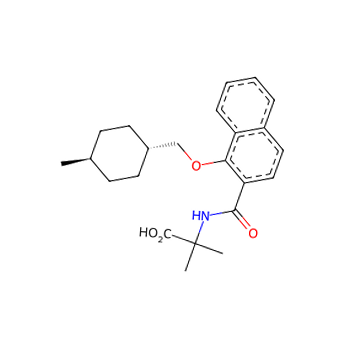 CC(C)(NC(=O)c1ccc2ccccc2c1OC[C@H]1CC[C@H](C)CC1)C(=O)O